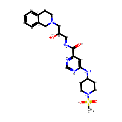 CS(=O)(=O)N1CCC(Nc2cc(C(=O)NCC(O)CN3CCc4ccccc4C3)ncn2)CC1